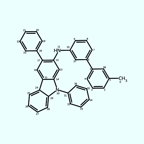 Cc1cccc(-c2cccc(Nc3cc4c(cc3-c3ccccc3)c3ccccc3n4-c3ccccc3)c2)c1